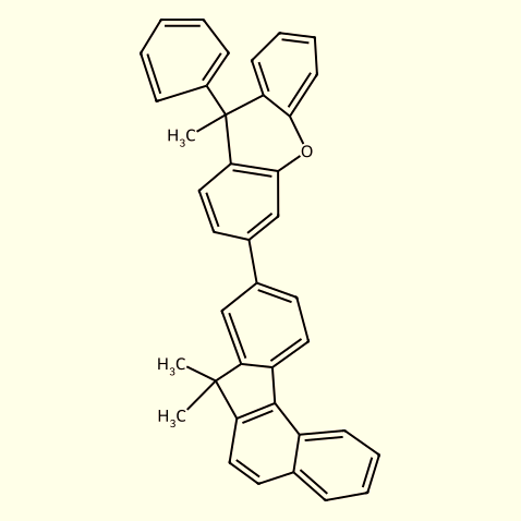 CC1(C)c2cc(-c3ccc4c(c3)Oc3ccccc3C4(C)c3ccccc3)ccc2-c2c1ccc1ccccc21